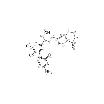 Nc1ccn(-c2cc(C(/C=C/c3ccc4c(c3)CCCC4=O)CO)cc(Cl)c2Cl)c(=O)n1